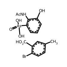 CC(=O)Nc1c(O)cccc1[As](=O)(O)O.Cc1ccc(Br)c(C(=O)O)c1